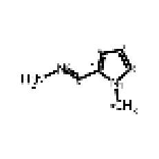 Cn1cccc1C=NN